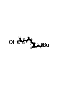 CCC(C)CCCC(C)CCCC(C)CCCC(C)C=O